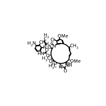 C=C/C=N\c1c(NC(=O)O[C@H]2CC(=O)N(C)c3cc(cc(OC)c3Cl)C/C(C)=C/C=C/[C@@H](OC)[C@@]3(O)C[C@H](OC(=O)N3)[C@@H](C)[C@@H]3O[C@@]23C)ccc(N)c1C